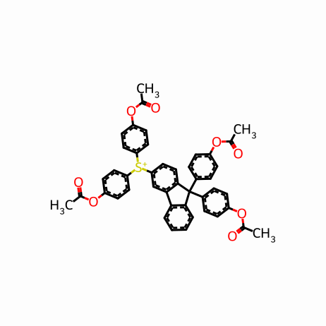 CC(=O)Oc1ccc([S+](c2ccc(OC(C)=O)cc2)c2ccc3c(c2)-c2ccccc2C3(c2ccc(OC(C)=O)cc2)c2ccc(OC(C)=O)cc2)cc1